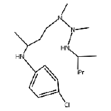 CC(CCN(C)N(C)NC(C)C(C)C)Nc1ccc(Cl)cc1